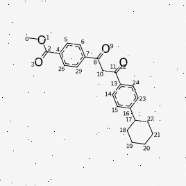 COC(=O)c1ccc(C(=O)CC(=O)c2ccc(C3CCCCC3)cc2)cc1